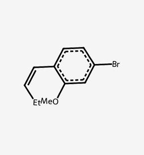 CC/C=C\c1ccc(Br)cc1OC